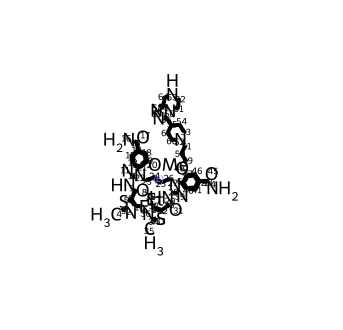 CCc1nc(C)sc1C(=O)Nc1nc2cc(C(N)=O)cc(OC)c2n1C/C=C/Cn1c(NC(=O)c2sc(C)nc2CC)nc2cc(C(N)=O)cc(OCCCN3CCC(c4nnc5n4CCNC5)CC3)c21